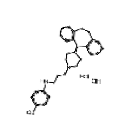 CC(C)(C)c1ccc(NCCCN2CCC(=C3c4ccccc4CCc4ccccc43)CC2)cc1.Cl.Cl